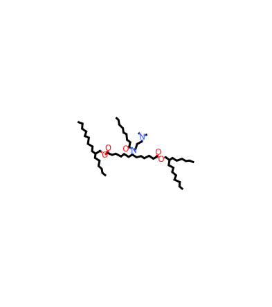 CCCCCCCCCC(CCCCCC)COC(=O)CCCCCC(CCCCCC(=O)OCC(CCCCCC)CCCCCCCC)N(CCCN(C)C)C(=O)CCCCCCCC